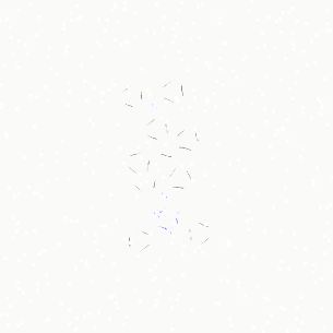 c1ccc(C2=C(c3ccc(N(c4ccccc4)c4ccccc4)cc3)c3cccc4ccc5c(c34)c3c2cccc3n5-c2nc(-c3ccccc3)nc(-c3ccccc3)n2)cc1